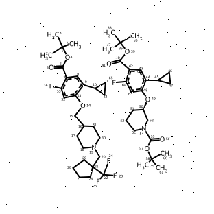 CC(C)(C)OC(=O)c1cc(C2CC2)c(OCC2CCN(CC3(C(F)(F)F)CCCC3)CC2)cc1F.CC(C)(C)OC(=O)c1cc(C2CC2)c(O[C@@H]2CCCN(C(=O)OC(C)(C)C)C2)cc1F